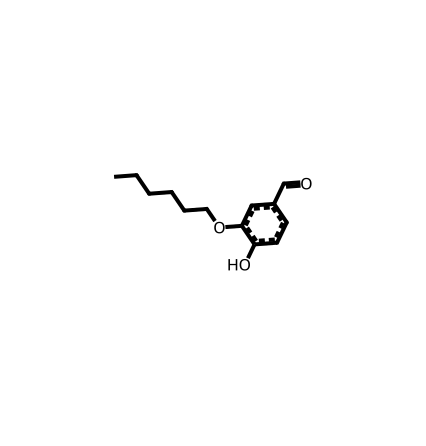 CCCCCCOc1cc(C=O)ccc1O